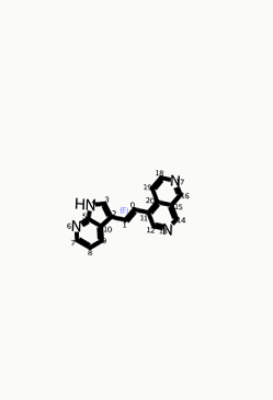 C(=C\c1c[nH]c2ncccc12)/c1cncc2cnccc12